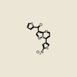 O=C(c1cccs1)c1cnn2c(-c3csc([N+](=O)[O-])c3)ccnc12